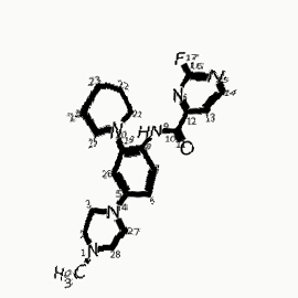 CN1CCN(c2ccc(NC(=O)c3ccnc(F)n3)c(N3CCCCC3)c2)CC1